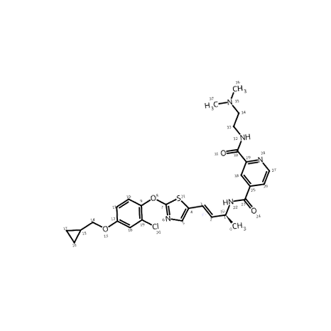 C[C@@H](/C=C/c1cnc(Oc2ccc(OCC3CC3)cc2Cl)s1)NC(=O)c1ccnc(C(=O)NCCN(C)C)c1